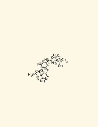 CC(C)c1c[nH]c2nccc(Oc3c(F)cc(NC4=NC[C@@](CO)(C(C)C)CO4)cc3F)c12